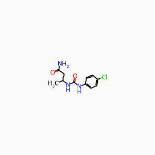 CC(CC(N)=O)NC(=O)Nc1ccc(Cl)cc1